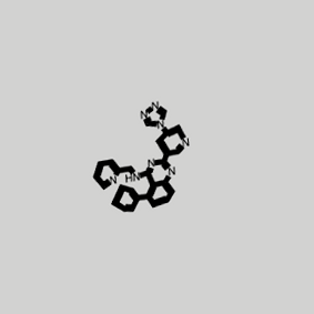 c1ccc(-c2cccc3nc(-c4cncc(-n5cnnc5)c4)nc(NCc4ccccn4)c23)cc1